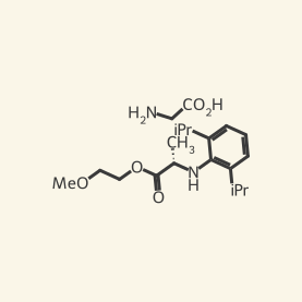 COCCOC(=O)[C@H](C)Nc1c(C(C)C)cccc1C(C)C.NCC(=O)O